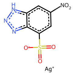 O=[N+]([O-])c1cc(S(=O)(=O)[O-])c2nn[nH]c2c1.[Ag+]